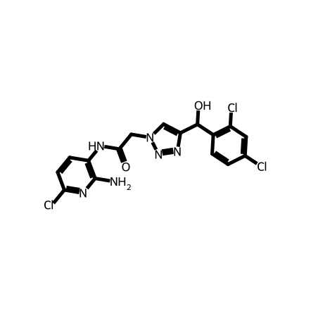 Nc1nc(Cl)ccc1NC(=O)Cn1cc(C(O)c2ccc(Cl)cc2Cl)nn1